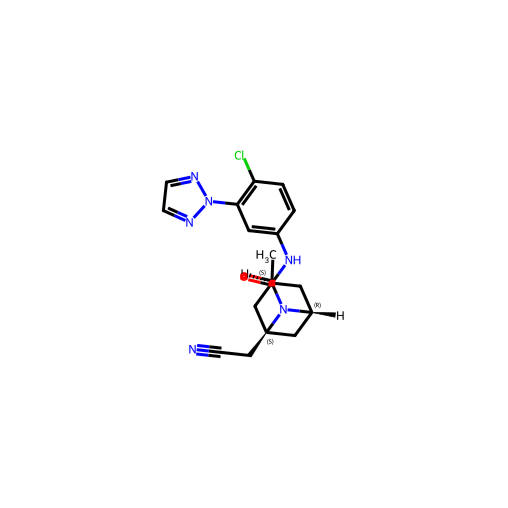 C[C@H]1C[C@@H]2C[C@](CC#N)(C1)N2C(=O)Nc1ccc(Cl)c(-n2nccn2)c1